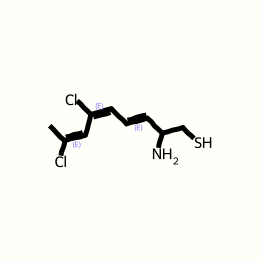 C\C(Cl)=C/C(Cl)=C\C=C\C(N)CS